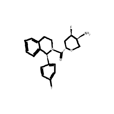 N[C@H]1CO[C@H](C(=O)N2CCc3ccccc3[C@@H]2c2ccc(F)cc2)C[C@H]1F